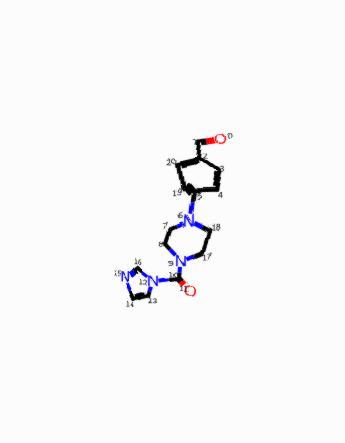 O=Cc1ccc(N2CCN(C(=O)n3ccnc3)CC2)cc1